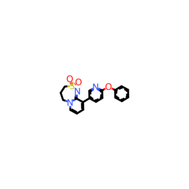 O=S1(=O)CCCN2C=CC=C(c3ccc(Oc4ccccc4)nc3)C2=N1